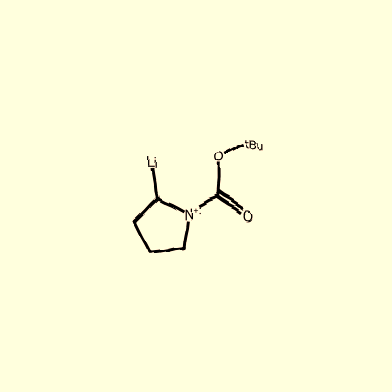 [Li][CH]1CCC[N+]1C(=O)OC(C)(C)C